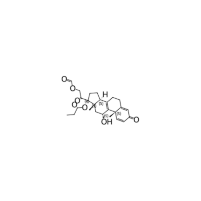 CCC(=O)O[C@]1(C(=O)COC=O)CC[C@H]2C3=C([C@@H](O)C[C@@]21C)[C@@]1(C)C=CC(=O)C=C1CC3